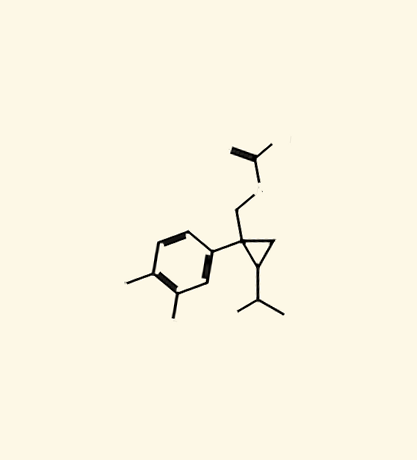 CC(O)C1CC1(CNC(=O)O)c1ccc(Cl)c(Cl)c1